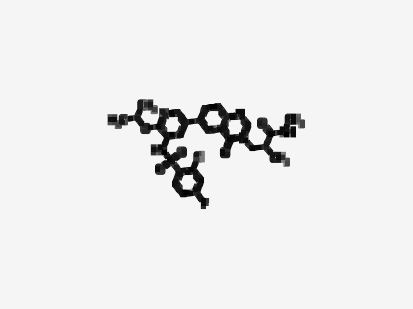 CNC(=O)C(C)Cn1cnc2ccc(-c3cnc(OC(C)C)c(NS(=O)(=O)c4ccc(F)cc4Cl)c3)cc2c1=O